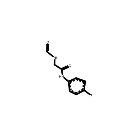 O=[C]NCC(=O)Nc1ccc(F)cc1